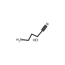 Cl.N#CCCCN